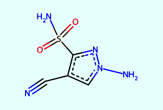 N#Cc1cn(N)nc1S(N)(=O)=O